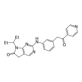 CCC(CC)N1C(=O)Cc2cnc(Nc3cccc(CC(=O)c4ccncc4)c3)nc21